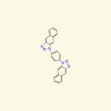 c1ccc2cc3c(cc2c1)nnn3-c1ccc(-n2nnc3cc4ccccc4cc32)cc1